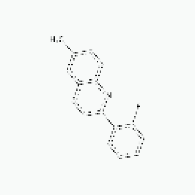 Cc1ccc2nc(-c3ccccc3F)ccc2c1